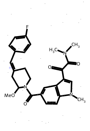 COC1C/C(=C/c2ccc(F)cc2)CCN1C(=O)c1ccc2c(c1)c(C(=O)C(=O)N(C)C)cn2C